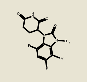 CC(C)c1c(F)cc(F)c2c1n(C)c(=O)n2C1CCC(=O)NC1=O